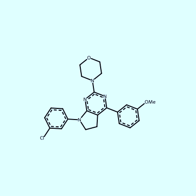 COc1cccc(-c2nc(N3CCOCC3)nc3c2CCN3c2cccc(Cl)c2)c1